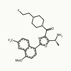 COc1ccc(-c2nc(C(=O)N3CCN(CCF)CC3)c([C@H](C)N)o2)c2ccc(C(F)(F)F)nc12